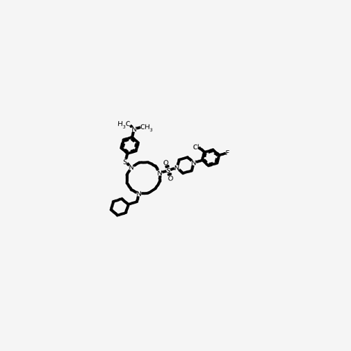 CN(C)c1ccc(SN2CCCN(CC3CCCCC3)CCCN(S(=O)(=O)N3CCN(c4ccc(F)cc4Cl)CC3)CCC2)cc1